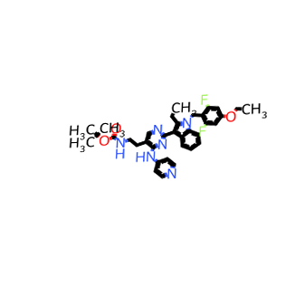 CCOc1cc(F)c(Cn2c(CC)c(-c3ncc(CCNC(=O)OC(C)(C)C)c(Nc4ccncc4)n3)c3ccccc32)c(F)c1